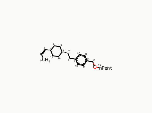 C/C=C\[C@H]1CC[C@H](CCc2ccc(COCCCCC)cc2)CC1